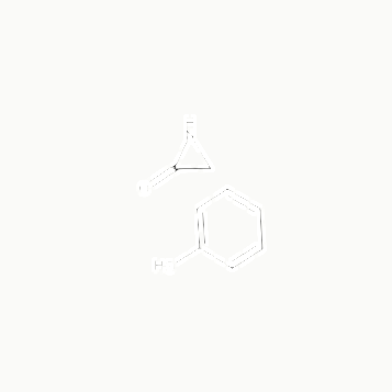 O=C1CN1.Oc1ccccc1